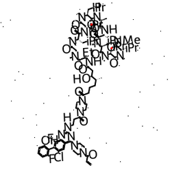 C=CC(=O)N1CCN(c2nc(NCCC(=O)N3CCN(C(=O)CCC[C@@H](C)[C@@H](O)CC(=O)N[C@@H](CC)C(=O)N(C)CC(=O)N(C)[C@@H](CC(C)C)C(=O)N[C@H](C(=O)N(C)[C@@H](CC(C)C)C(=O)N[C@@H](C)C(=O)N[C@H](C)C(=O)N(C)[C@@H](CC(C)C)C(=O)N(C)[C@@H](CC(C)C)C(=O)N(C)[C@H](C(=O)NC)C(C)C)C(C)C)CC3)nc3c(F)c(-c4c(O)cccc4F)c(Cl)cc23)CC1